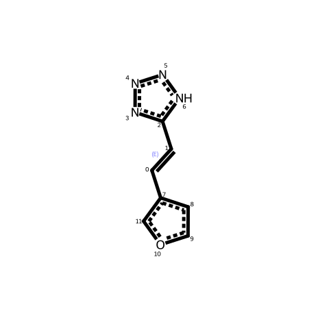 C(=C\c1nnn[nH]1)/c1ccoc1